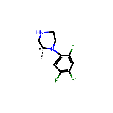 C[C@@H]1CNCCN1c1cc(F)c(Br)cc1F